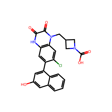 O=C(O)N1CC(Cn2c(=O)c(=O)[nH]c3cc(-c4cc(O)cc5ccccc45)c(Cl)cc32)C1